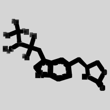 [2H]C([2H])([2H])N(C)C([2H])([2H])Cc1c[nH]c2ccc(C[C@H]3COC(=O)N3)cc12